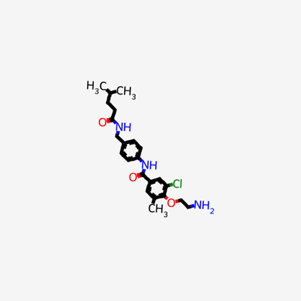 Cc1cc(C(=O)Nc2ccc(CNC(=O)CCC(C)C)cc2)cc(Cl)c1OCCN